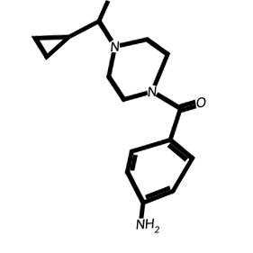 CC(C1CC1)N1CCN(C(=O)c2ccc(N)cc2)CC1